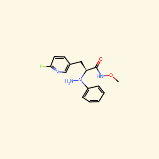 CONC(=O)[C@H](Cc1ccc(F)nc1)N(N)c1ccccc1